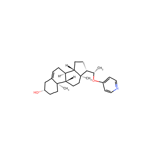 C[C@H](Oc1ccncc1)[C@H]1CC[C@H]2[C@@H]3CC=C4C[C@@H](O)CC[C@]4(C)[C@H]3CC[C@]12C